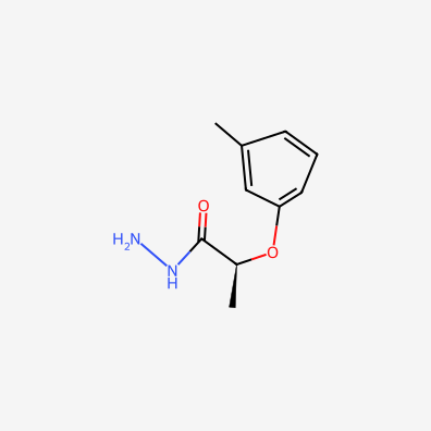 Cc1cccc(O[C@@H](C)C(=O)NN)c1